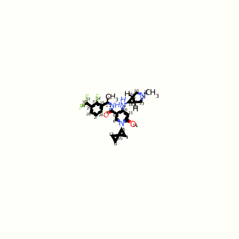 C[C@@H](NC(=O)c1cn([C@@H]2CC23CC3)c(=O)cc1N[C@H]1[C@@H]2CN(C)C[C@@H]21)c1cccc(C(F)F)c1F